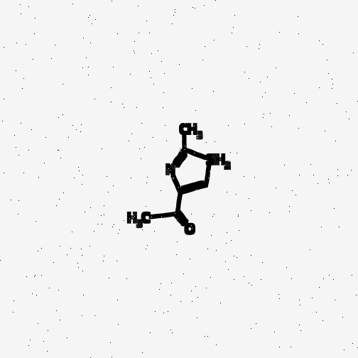 CC(=O)C1=C[SiH2]C(C)=N1